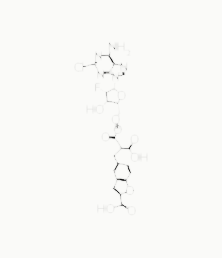 Nc1nc(Cl)nc2c1ncn2[C@@H]1O[C@H](COOC(=O)C(Cc2ccc3oc(C(=O)O)cc3c2)C(=O)O)[C@@H](O)[C@@H]1F